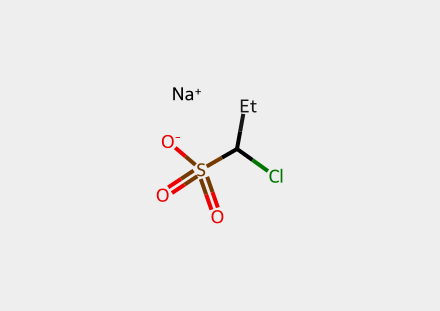 CCC(Cl)S(=O)(=O)[O-].[Na+]